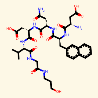 CC(C)[C@H](NC(=O)[C@H](CC(=O)O)NC(=O)[C@H](CC(N)=O)NC(=O)[C@H](Cc1ccc2ccccc2c1)NC(=O)[C@@H](N)CC(=O)O)C(=O)NCC(=O)NCCCO